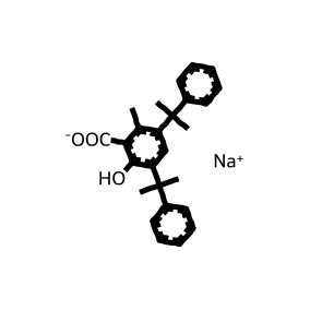 Cc1c(C(C)(C)c2ccccc2)cc(C(C)(C)c2ccccc2)c(O)c1C(=O)[O-].[Na+]